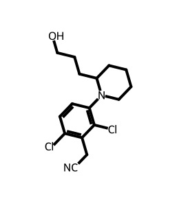 N#CCc1c(Cl)ccc(N2CCCCC2CCCO)c1Cl